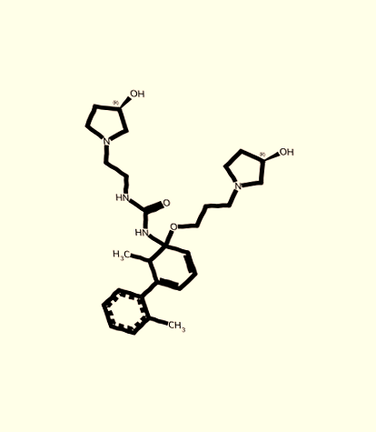 Cc1ccccc1C1=CC=CC(NC(=O)NCCN2CC[C@@H](O)C2)(OCCCN2CC[C@@H](O)C2)C1C